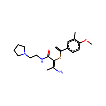 C=C(S/C(C(=O)NCCN1CCCC1)=C(/C)N)c1ccc(OC)c(C)c1